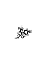 CCOC(=O)C(c1ccc(Cl)cc1F)[C@H](C)C(F)(F)F